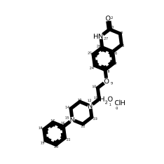 Cl.O.O=C1CCc2cc(OCCN3CCN(c4ccccc4)CC3)ccc2N1